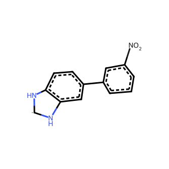 O=[N+]([O-])c1cccc(-c2ccc3c(c2)N[CH]N3)c1